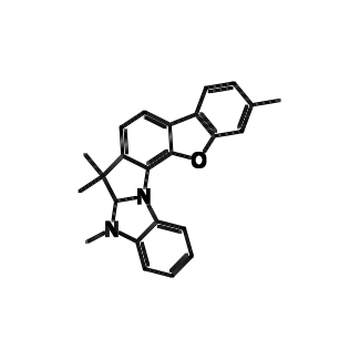 Cc1ccc2c(c1)oc1c3c(ccc12)C(C)(C)C1N(C)c2ccccc2N31